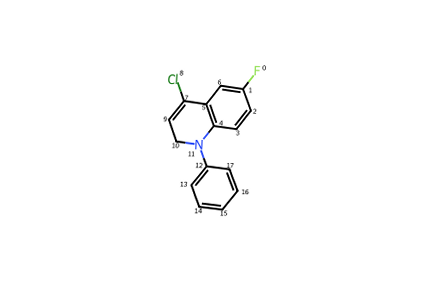 Fc1ccc2c(c1)C(Cl)=CCN2c1ccccc1